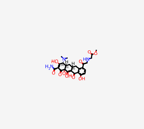 COC(=O)CNCC(=O)c1ccc(O)c2c1C[C@H]1C[C@H]3[C@@H](N(C)C)C(O)=C(C(N)=O)C(=O)[C@@]3(O)C(O)=C1C2=O